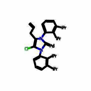 C=CCc1c(Cl)n(-c2cccc(C(C)C)c2C(C)C)[c](=[Pd])n1-c1cccc(C(C)C)c1C(C)C